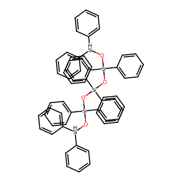 c1ccc([SiH](O[Si](O[Si](O[Si](O[SiH](c2ccccc2)c2ccccc2)(c2ccccc2)c2ccccc2)(c2ccccc2)c2ccccc2)(c2ccccc2)c2ccccc2)c2ccccc2)cc1